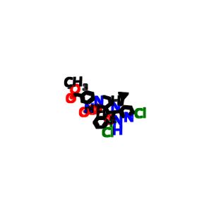 CCOC(=O)c1ccc(N2CC[C@H]3[C@@H](C2=O)[C@H](c2cccc(Cl)c2F)[C@]2(C(=O)Nc4nc(Cl)ccc42)N3CC2CC2)c([N+](=O)[O-])c1